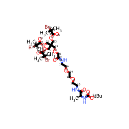 C[C@H](NC(=O)OC(C)(C)C)C(=O)NCCOCCOCCNC(=O)COCC(COC(=O)C(C)(C)Br)(COC(=O)C(C)(C)Br)COC(=O)C(C)(C)Br